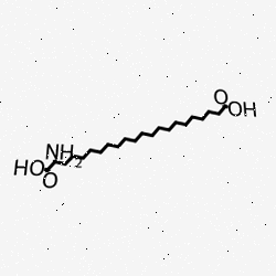 NC(CCCCCCCCCCCCCCCCCCCC(=O)O)C(=O)O